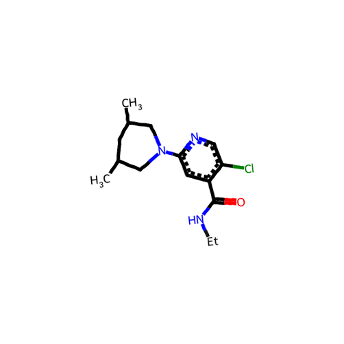 [CH2]CNC(=O)c1cc(N2CC(C)CC(C)C2)ncc1Cl